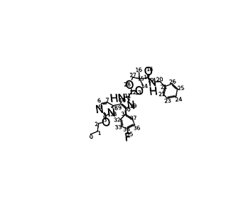 CCCOc1nccc(-c2[nH]c(C3OCC(C)(C(=O)NCc4ccccc4)CO3)nc2-c2ccc(F)cc2)n1